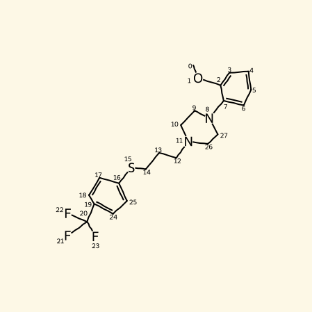 COc1ccccc1N1CCN(CCCSc2ccc(C(F)(F)F)cc2)CC1